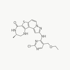 CCOCc1cnc(Cl)nc1Nc1cc2c3c4c(sc3ccn2n1)C(=O)N[C@H](C)CN4